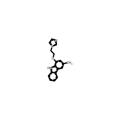 Cc1cc(OCCn2ccnc2)c2[nH]c3ccccc3c2c1